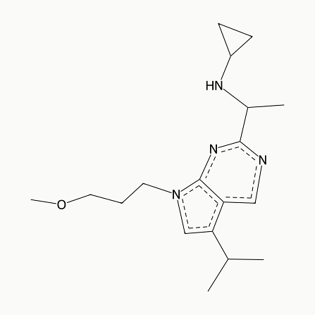 COCCCn1cc(C(C)C)c2cnc(C(C)NC3CC3)nc21